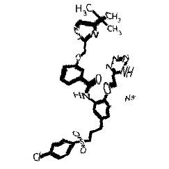 CC(C)(C)c1csc(COc2cccc(C(=O)Nc3cc(CCCS(=O)(=O)c4ccc(Cl)cc4)ccc3OCc3nnn[nH]3)c2)n1.[Na]